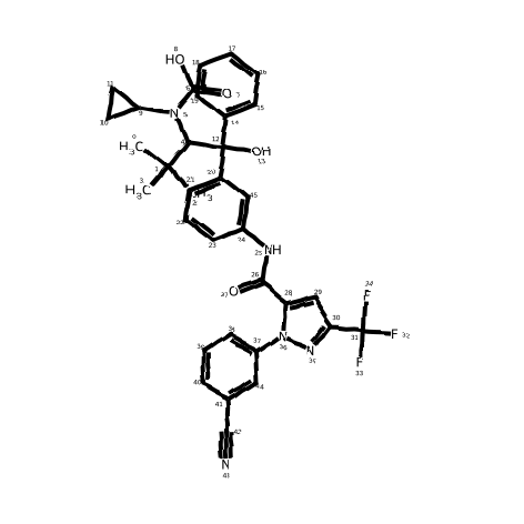 CC(C)(C)C(N(C(=O)O)C1CC1)C(O)(c1ccccc1)c1cccc(NC(=O)c2cc(C(F)(F)F)nn2-c2cccc(C#N)c2)c1